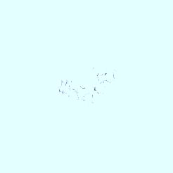 O=C1O[C@]2(CCN(C(=O)c3ccc(-c4cncnc4)cc3Cl)C2)c2ccccc21